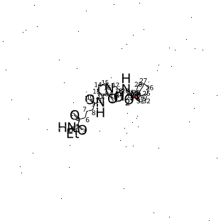 CCNC(=O)C(=O)CCCC(=O)Nc1cccn(CC(=O)NC(=O)C23CC4CC(C2)C(N)C(C4)C3)c1=O